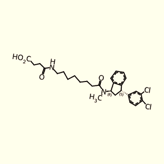 CN(C(=O)CCCCCCCNC(=O)CCC(=O)O)[C@@H]1C[C@@H](c2ccc(Cl)c(Cl)c2)c2ccccc21